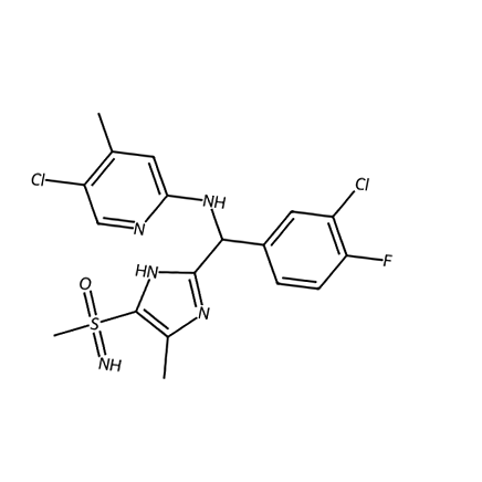 Cc1cc(NC(c2ccc(F)c(Cl)c2)c2nc(C)c(S(C)(=N)=O)[nH]2)ncc1Cl